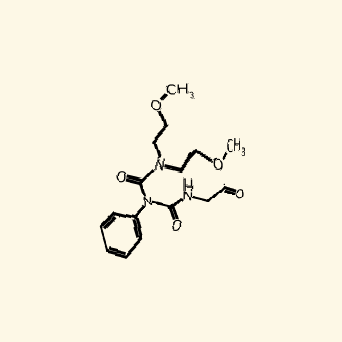 COCCN(CCOC)C(=O)N(C(=O)NC[C]=O)c1ccccc1